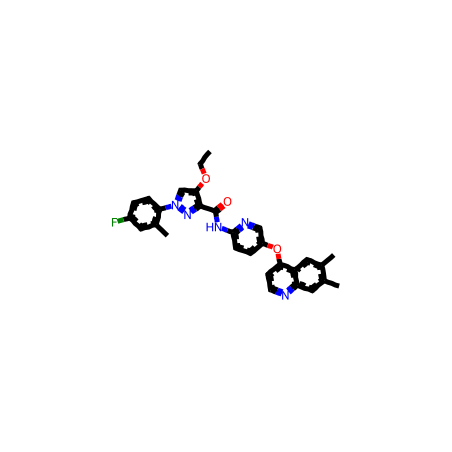 CCOc1cn(-c2ccc(F)cc2C)nc1C(=O)Nc1ccc(Oc2ccnc3cc(C)c(C)cc23)cn1